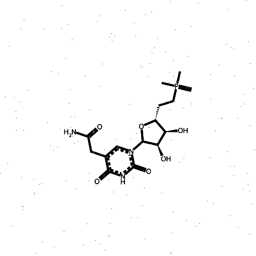 C=P(C)(C)CC[C@H]1OC(n2cc(CC(N)=O)c(=O)[nH]c2=O)[C@H](O)[C@@H]1O